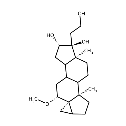 CO[C@@H]1CC2C3C[C@H](O)[C@](O)(CCO)[C@@]3(C)CCC2[C@@]2(C)CCC3C[C@]312